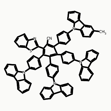 Cc1ccc2c(c1)c1ccccc1n2-c1ccc(-c2c(C#N)c(-c3nc4ccccc4s3)c(-c3ccc(-n4c5ccccc5c5ccccc54)cc3)c(-c3ccc(-n4c5ccccc5c5ccccc54)cc3)c2-c2ccc(-n3c4ccccc4c4ccccc43)cc2)cc1